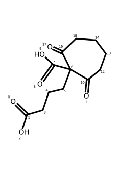 O=C(O)CCCC1(C(=O)O)C(=O)CCCCC1=O